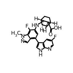 Cn1ncc2c(-c3c[nH]c4ncc(F)cc34)cc(N[C@H]3[C@H]4CC[C@H](CC4)[C@@H]3C(=O)O)c(F)c21